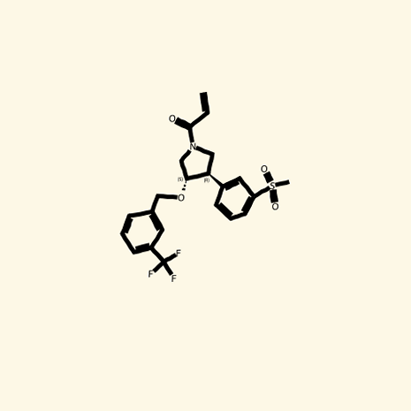 C=CC(=O)N1C[C@@H](OCc2cccc(C(F)(F)F)c2)[C@H](c2cccc(S(C)(=O)=O)c2)C1